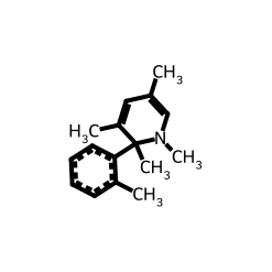 CC1=CN(C)C(C)(c2ccccc2C)C(C)=C1